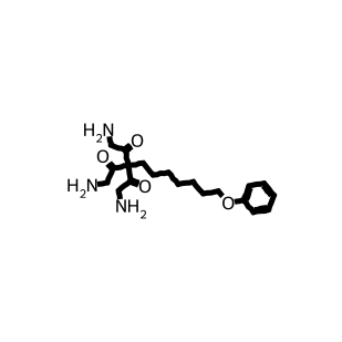 NCC(=O)C(CCCCCCCOc1ccccc1)(C(=O)CN)C(=O)CN